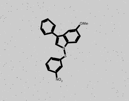 COc1ccc2c(c1)c(-c1ccccc1)cn2Sc1cccc([N+](=O)[O-])c1